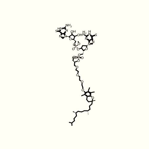 COP(=O)(OC[C@H]1O[C@@H](n2cnc3c(=S)[nH]c(N)nc32)C(O)C1O)OC1C[C@H](n2cnc3c(=S)[nH]c(N)nc32)O[C@@H]1COP(=O)(O)O[C@H](CO)COCCOCCOCCOc1c(C)c(C)c2c(c1C)CC[C@@](C)(CCC[C@H](C)CCC[C@H](C)CCCC(C)C)O2